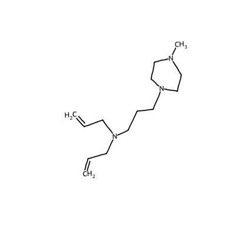 C=CCN(CC=C)CCCN1CCN(C)CC1